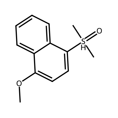 COc1ccc([SH](C)(C)=O)c2ccccc12